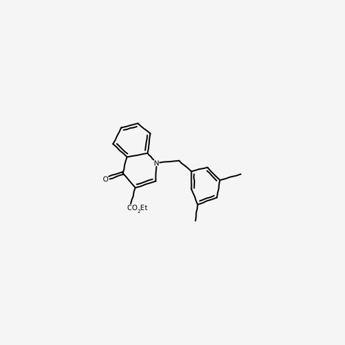 CCOC(=O)c1cn(Cc2cc(C)cc(C)c2)c2ccccc2c1=O